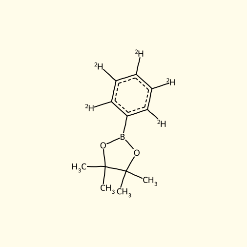 [2H]c1c([2H])c([2H])c(B2OC(C)(C)C(C)(C)O2)c([2H])c1[2H]